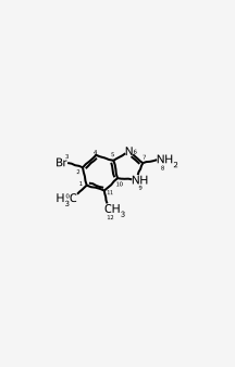 Cc1c(Br)cc2nc(N)[nH]c2c1C